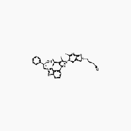 Cc1nc2nn(CCCC#N)cc2cc1-n1nc(-c2cccc3nn(C[C@H](O)c4ccccc4)cc23)c(C(C)C)c1C